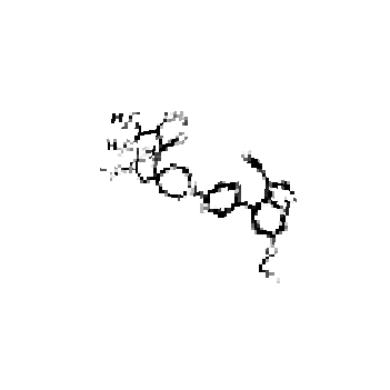 CCOc1cc(-c2ccc(N3CCC(CN(C)C)(NC(=O)C(C)C(C)C)CC3)nc2)c2c(C#N)cnn2c1